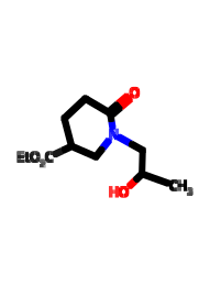 CCOC(=O)C1CCC(=O)N(CC(C)O)C1